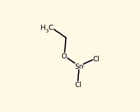 CC[O][Sn]([Cl])[Cl]